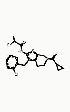 CC(Br)C(=O)Nc1sc2c(c1Cc1ccccc1Cl)CCN(C(=O)C1CC1)C2